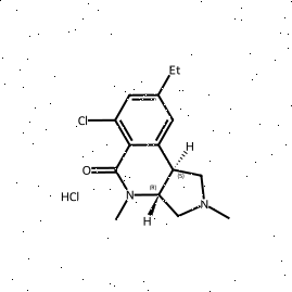 CCc1cc(Cl)c2c(c1)[C@H]1CN(C)C[C@@H]1N(C)C2=O.Cl